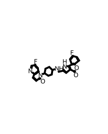 O=c1oc2ccc(F)cc2c2[nH]c(CNC3CCC(n4c(=O)ccc5ncc(F)cc54)CC3)cc12